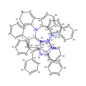 C1=c2c(n(-c3c(-c4ccccc4)cc(-c4ccccc4)c4c5ccccc5n(-c5ccccc5)c34)c3c2ccc2c4ccccc4n(C4=NC(c5ccccc5)=NC(c5ccccc5)N4)c23)=CCC1